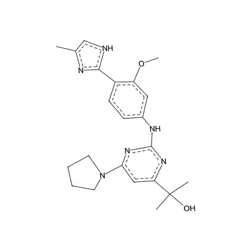 COc1cc(Nc2nc(N3CCCC3)cc(C(C)(C)O)n2)ccc1-c1nc(C)c[nH]1